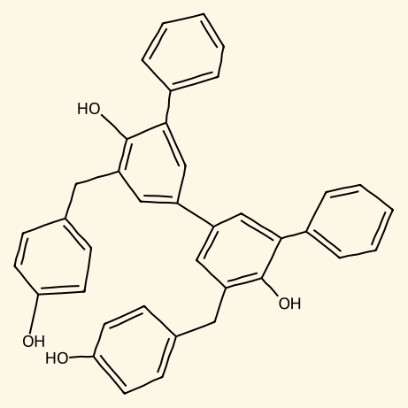 Oc1ccc(Cc2cc(-c3cc(Cc4ccc(O)cc4)c(O)c(-c4ccccc4)c3)cc(-c3ccccc3)c2O)cc1